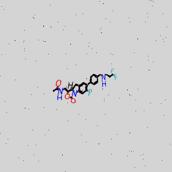 CC(=O)NCC1OC(=O)N2c3cc(F)c(-c4ccc(CNCCC(F)F)cc4)cc3C[C@@H]12